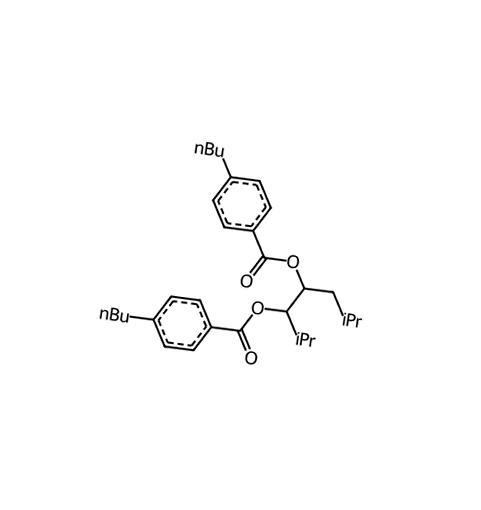 CCCCc1ccc(C(=O)OC(CC(C)C)C(OC(=O)c2ccc(CCCC)cc2)C(C)C)cc1